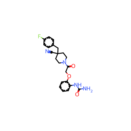 N#CC1(Cc2ccc(F)cc2)CCN(C(=O)COc2ccccc2NC(N)=O)CC1